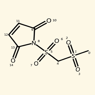 CS(=O)(=O)CS(=O)(=O)N1C(=O)C=CC1=O